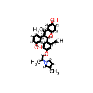 C#Cc1cc(OCC(C)N2CCC(C)C2)ccc1C1Oc2ccc(O)cc2C(C)=C1c1cccc(O)c1